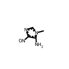 Cn1cnc(N=O)c1N